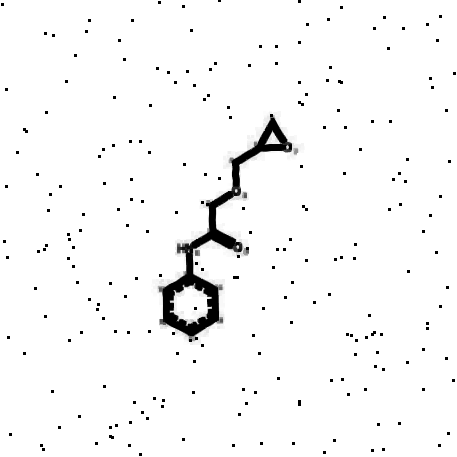 O=C(COCC1CO1)Nc1ccccc1